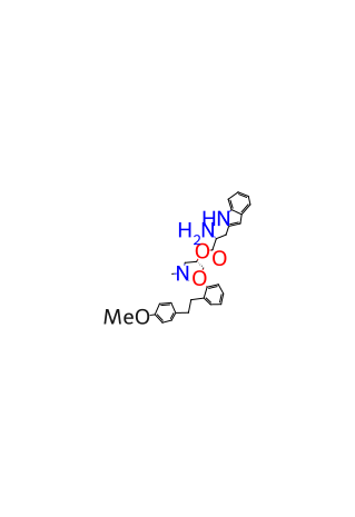 COc1ccc(CCc2ccccc2OC[C@H](CN(C)C)OC(=O)[C@H](N)Cc2cc3ccccc3[nH]2)cc1